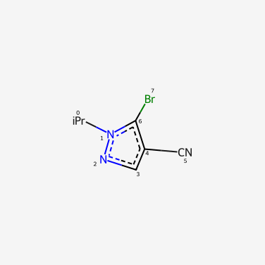 CC(C)n1ncc(C#N)c1Br